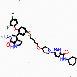 Cn1cc(-c2cc(SCCCCOC3CCN(c4ccc(C(=O)NC5CCCCC5)nn4)CC3)ccc2Oc2ccc(F)cc2F)c2cc[nH]c2c1=O